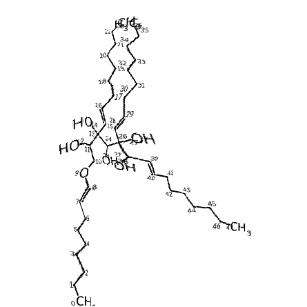 CCCCCCCC=COCC(O)C(O)(C=CCCCCCCC)C(O)C(O)(C=CCCCCCCC)C(O)C=CCCCCCCC